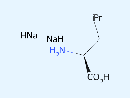 CC(C)C[C@H](N)C(=O)O.[NaH].[NaH]